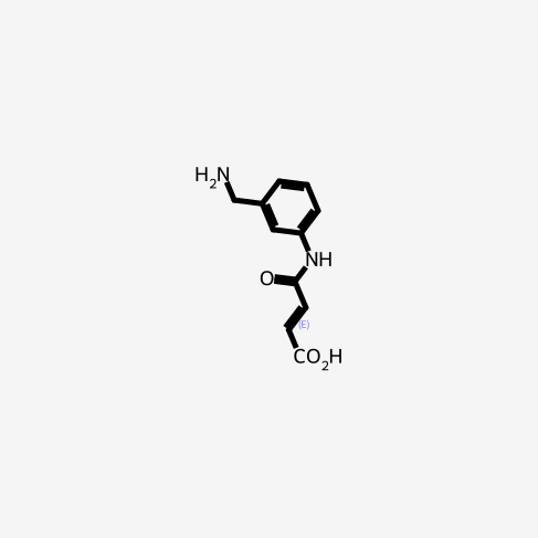 NCc1cccc(NC(=O)/C=C/C(=O)O)c1